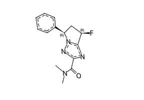 CN(C)C(=O)c1nc2n(n1)[C@@H](c1ccccc1)C[C@H]2F